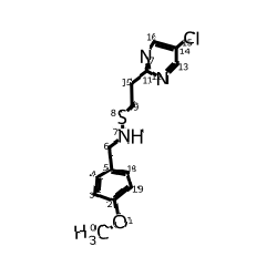 COc1ccc(CNSCCc2ncc(Cl)cn2)cc1